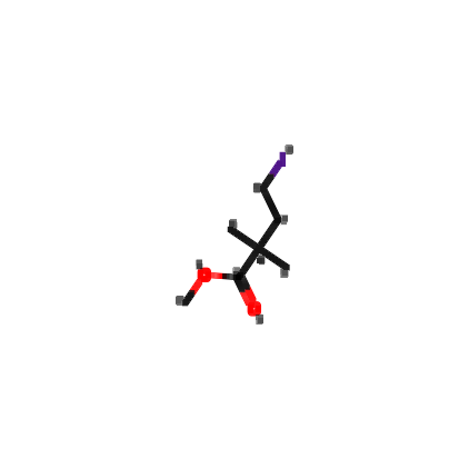 COC(=O)C(C)(C)CCI